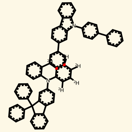 [2H]c1c([2H])c([2H])c(N(c2ccc3c(c2)C(c2ccccc2)(c2ccccc2)c2ccccc2-3)c2ccccc2-c2cccc(-c3ccc4c5ccccc5n(-c5ccc(-c6ccccc6)cc5)c4c3)c2)c([2H])c1[2H]